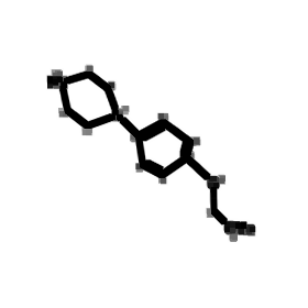 COCOc1ccc(N2CCNCC2)cc1